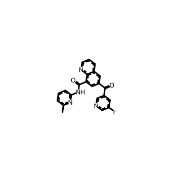 Cc1cccc(NC(=O)c2cc(C(=O)c3cncc(F)c3)cc3cccnc23)n1